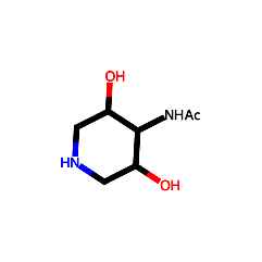 CC(=O)NC1C(O)CNCC1O